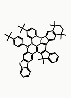 CC(C)(C)c1ccc(N2B3c4cc(C(C)(C)C)ccc4-n4c5cc6c(cc5c5c7c(c(c3c54)-c3cc4c(cc32)sc2ccccc24)C(C)(C)c2ccccc2-7)C(C)(C)CCC6(C)C)cc1